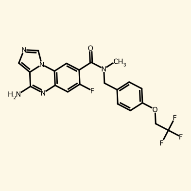 CN(Cc1ccc(OCC(F)(F)F)cc1)C(=O)c1cc2c(cc1F)nc(N)c1cncn12